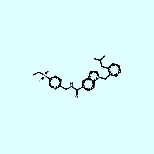 CCS(=O)(=O)c1ccc(CNC(=O)c2ccc3c(ccn3Cc3ccccc3CC(C)C)c2)nc1